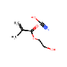 C=C(C)C(=O)OCCO.N#CO